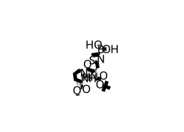 COC(=O)[C@@H]1CCCN(C(=O)[C@H](Cc2nc(B(O)O)cs2)NC(=O)OC(C)(C)C)N1